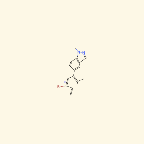 C=C/C(Br)=C\C(=C(C)C)c1ccc2c(cnn2C)c1